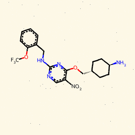 N[C@H]1CC[C@H](COc2nc(NCc3ccccc3OC(F)(F)F)ncc2[N+](=O)[O-])CC1